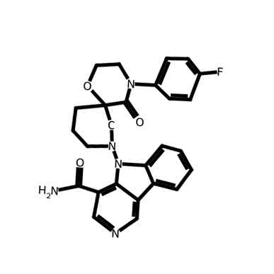 NC(=O)c1cncc2c3ccccc3n(N3CCCC4(C3)OCCN(c3ccc(F)cc3)C4=O)c12